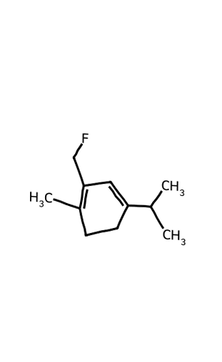 CC1=C(CF)C=C(C(C)C)CC1